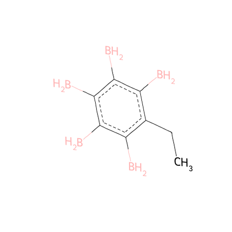 Bc1c(B)c(B)c(CC)c(B)c1B